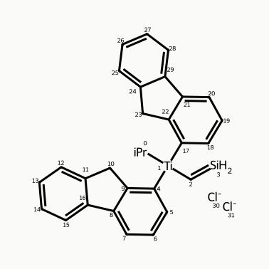 C[CH](C)[Ti]([CH]=[SiH2])([c]1cccc2c1Cc1ccccc1-2)[c]1cccc2c1Cc1ccccc1-2.[Cl-].[Cl-]